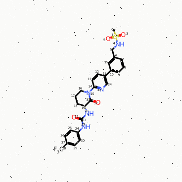 CS(=O)(=O)NCc1cccc(-c2ccc(N3CCC[C@@H](NC(=O)Nc4ccc(C(F)(F)F)cc4)C3=O)nc2)c1